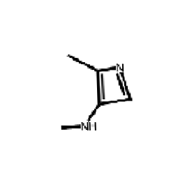 CNC1=C(C)N=C1